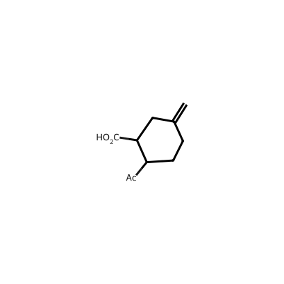 C=C1CCC(C(C)=O)C(C(=O)O)C1